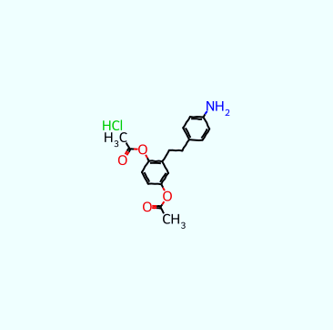 CC(=O)Oc1ccc(OC(C)=O)c(CCc2ccc(N)cc2)c1.Cl